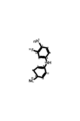 CCCc1ccc(NC2=CCC(C#N)C=C2)cc1F